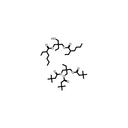 CCC(COC(=O)CC(C)(C)C)(COC(=O)CC(C)(C)C)COC(=O)CC(C)(C)C.CCCCC(CC)C(=O)OCC(CC)(CO)COC(=O)C(CC)CCCC